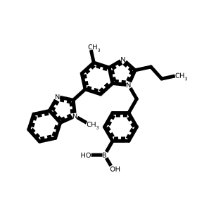 CCCc1nc2c(C)cc(-c3nc4ccccc4n3C)cc2n1Cc1ccc(B(O)O)cc1